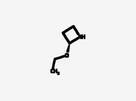 CCO[C@@H]1CCN1